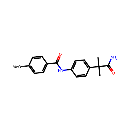 COc1ccc(C(=O)Nc2ccc(C(C)(C)C(N)=O)cc2)cc1